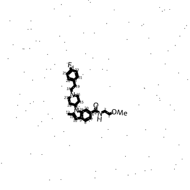 COCCNC(=O)c1ccc2cc(C)n(C3CCN(CCc4ccc(F)cc4)CC3)c2c1